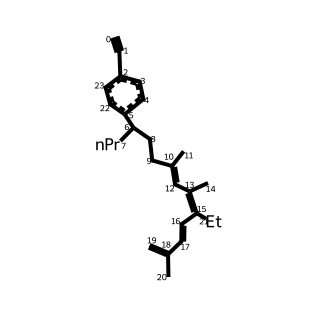 C#Cc1ccc(C(CCC)CC/C(C)=C/C(C)=C(\C=C\C(=C)C)CC)cc1